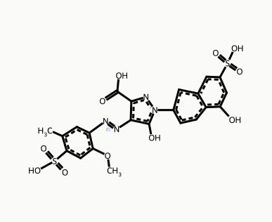 COc1cc(S(=O)(=O)O)c(C)cc1/N=N/c1c(C(=O)O)nn(-c2ccc3c(O)cc(S(=O)(=O)O)cc3c2)c1O